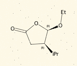 CCO[C@@H]1OC(=O)C[C@@H]1C(C)C